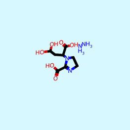 N.N.O=C(O)C1=NCCN1C(CC(O)O)C(=O)O